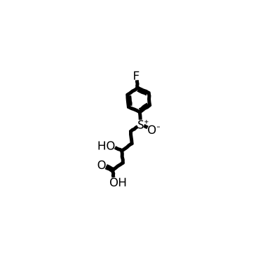 O=C(O)CC(O)CC[S+]([O-])c1ccc(F)cc1